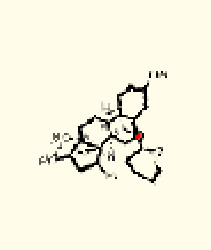 CCC1CC(O)[C@@]2(C)CC[C@@H]3[C@@H](CC=C4CC(O)CC[C@@]43COC3CCCCO3)[C@H]12